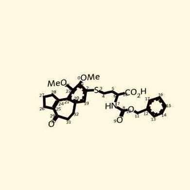 COc1c(SCCC(NC(=O)OCc2ccccc2)C(=O)O)cc2c(c1OC)C1=C(CCC1)C(=O)CC2